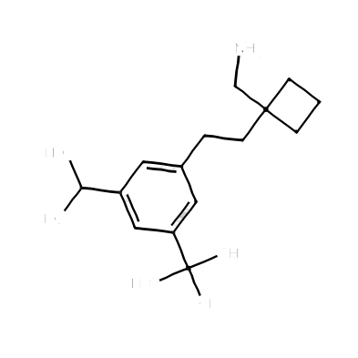 CC(C)c1cc(CCC2(CN)CCC2)cc(C(C)(C)C)c1